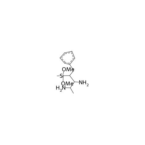 CO[Si](C)(OC)C(Cc1ccccc1)C(N)C(C)N